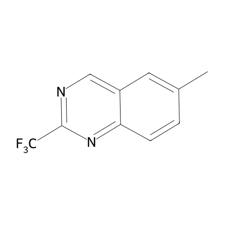 Cc1ccc2nc(C(F)(F)F)ncc2c1